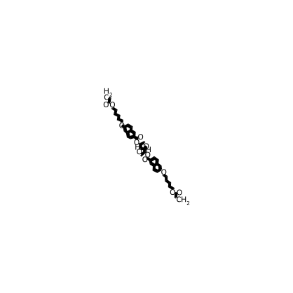 C=CC(=O)OCCCCCCOc1ccc2cc(C(=O)O[C@H]3CO[C@H]4[C@@H]3OC[C@H]4OC(=O)c3ccc4cc(OCCCCCCOC(=O)C=C)ccc4c3)ccc2c1